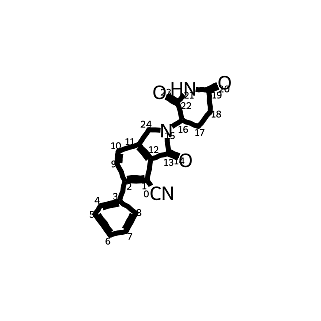 N#Cc1c(-c2ccccc2)ccc2c1C(=O)N(C1CCC(=O)NC1=O)C2